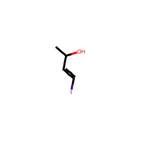 CC(O)C=CI